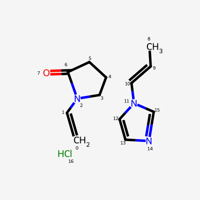 C=CN1CCCC1=O.CC=Cn1ccnc1.Cl